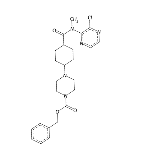 CN(C(=O)C1CCC(N2CCN(C(=O)OCc3ccccc3)CC2)CC1)c1nccnc1Cl